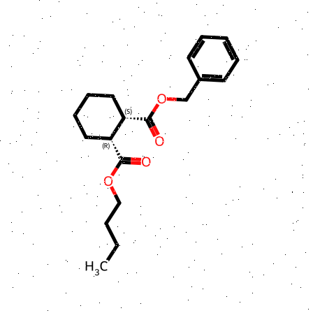 CCCCOC(=O)[C@@H]1CCCC[C@@H]1C(=O)OCc1ccccc1